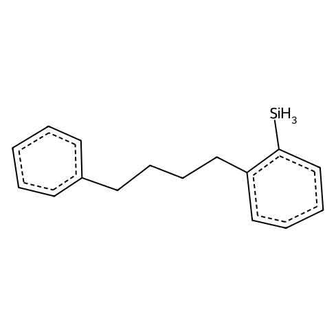 [SiH3]c1ccccc1CCCCc1ccccc1